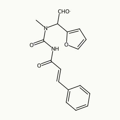 CN(C(=O)NC(=O)C=Cc1ccccc1)C([C]=O)c1ccco1